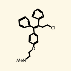 CNCCOc1ccc(/C(=C(\CCCl)c2ccccc2)c2ccccc2)cc1